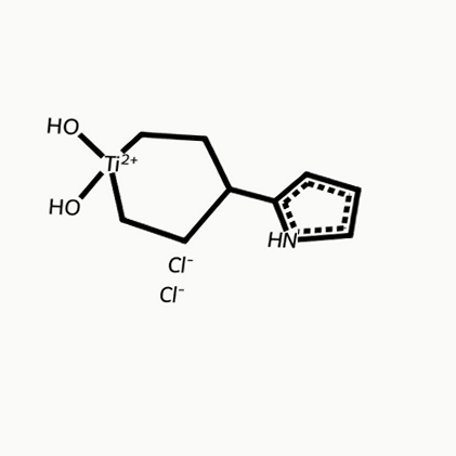 [Cl-].[Cl-].[OH][Ti+2]1([OH])[CH2]CC(c2ccc[nH]2)C[CH2]1